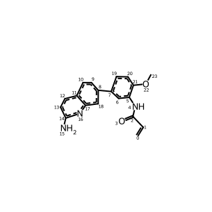 C=CC(=O)Nc1cc(-c2ccc3ccc(N)nc3c2)ccc1OC